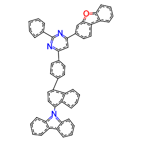 c1ccc(-c2nc(-c3ccc(-c4ccc(-n5c6ccccc6c6ccccc65)c5ccccc45)cc3)cc(-c3ccc4c(c3)oc3ccccc34)n2)cc1